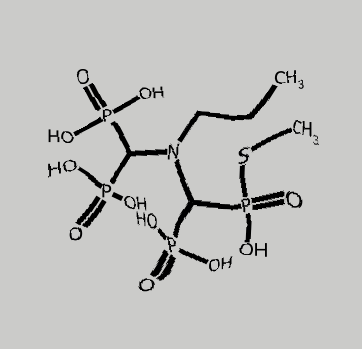 CCCN(C(P(=O)(O)O)P(=O)(O)O)C(P(=O)(O)O)P(=O)(O)SC